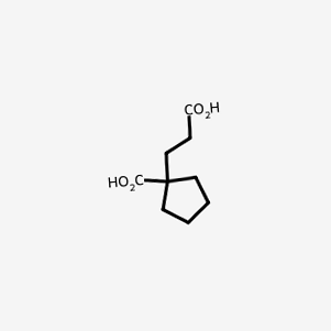 O=C(O)CCC1(C(=O)O)CCCC1